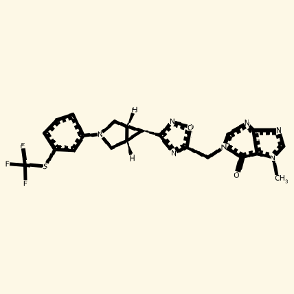 Cn1cnc2ncn(Cc3nc([C@H]4[C@@H]5CN(c6cccc(SC(F)(F)F)c6)C[C@@H]54)no3)c(=O)c21